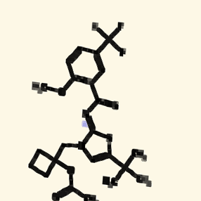 COc1ccc(C(F)(F)F)cc1C(=S)/N=c1\sc(C(C)(C)C)cn1CC1(OC(C)=O)CCC1